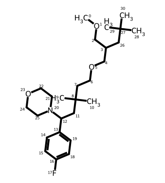 COCC(COCCC(C)(C)CC(c1ccc(F)cc1)N1CCOCC1)CC(C)(C)C